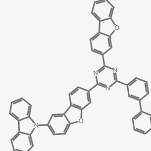 c1ccc(-c2cccc(-c3nc(-c4ccc5c(c4)oc4ccccc45)nc(-c4ccc5c(c4)oc4ccc(-n6c7ccccc7c7ccccc76)cc45)n3)c2)cc1